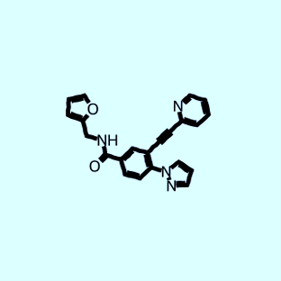 O=C(NCc1ccco1)c1ccc(-n2cccn2)c(C#Cc2ccccn2)c1